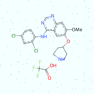 COc1cc2ncnc(Nc3ccc(Cl)cc3Cl)c2cc1OC1CCNCC1.O=C(O)C(F)(F)F